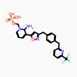 NC1C(c2cc(Cc3ccc(Cc4cccc(C(F)(F)F)n4)cc3)no2)=CC=CN1COP(=O)(O)O